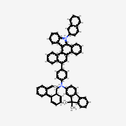 C/C=c1/cccc/c1=C1\C=CC=CC1CN(c1ccc(-c2cc3c4ccccc4c4c(c5ccccc5n4-c4ccc5ccccc5c4)c3c3ccccc23)cc1)c1ccc2c(c1)C(C)(C)c1ccccc1-2